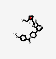 NCC12CC(C1)O[C@@H]2c1nc2c(C3CCN(C(=O)c4ccc(OC(F)(F)F)cc4)CC3)ccnc2[nH]1